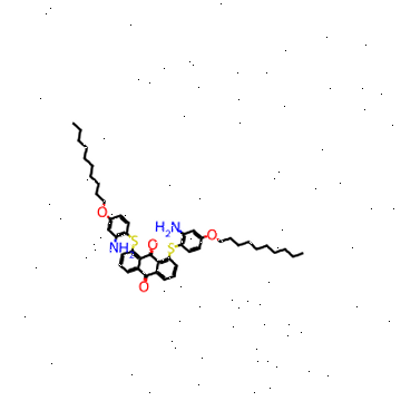 CCCCCCCCCCOc1ccc(Sc2cccc3c2C(=O)c2c(Sc4ccc(OCCCCCCCCCC)cc4N)cccc2C3=O)c(N)c1